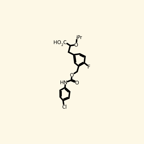 CC(C)OC(Cc1ccc(F)c(COC(=O)Nc2ccc(Cl)cc2)c1)C(=O)O